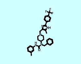 Cc1cccc(NC(=O)N(Cc2ccccc2)C2CCN(Cc3nc(-c4ccc(C(F)(F)F)cc4)[nH]c3C)CC2)c1